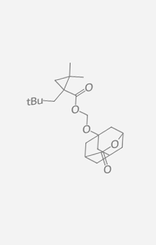 CC(C)(C)CC1(C(=O)OCOC23CC4CC(C2)OC(=O)C(C4)C3)CC1(C)C